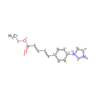 CCOC(=O)/C=C/C=C/c1ccc(-n2ccnc2)cc1